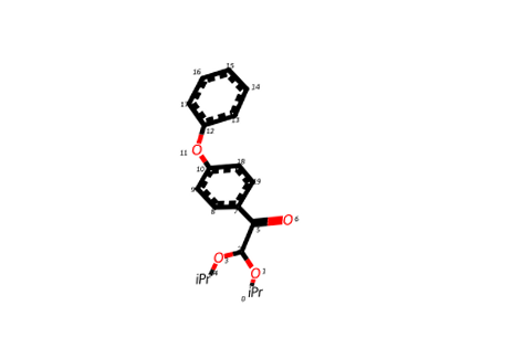 CC(C)OC(OC(C)C)C(=O)c1ccc(Oc2ccccc2)cc1